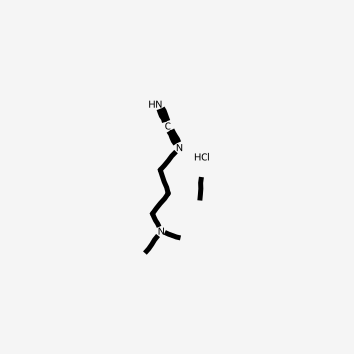 CC.CN(C)CCCN=C=N.Cl